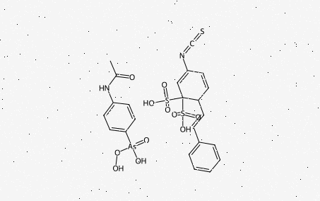 CC(=O)Nc1ccc([As](=O)(O)OO)cc1.O=S(=O)(O)C1(S(=O)(=O)O)C=C(N=C=S)C=CC1C=Cc1ccccc1